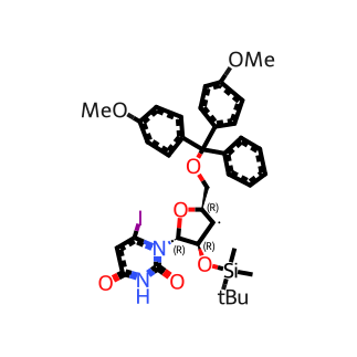 COc1ccc(C(OC[C@H]2[CH][C@@H](O[Si](C)(C)C(C)(C)C)[C@H](n3c(I)cc(=O)[nH]c3=O)O2)(c2ccccc2)c2ccc(OC)cc2)cc1